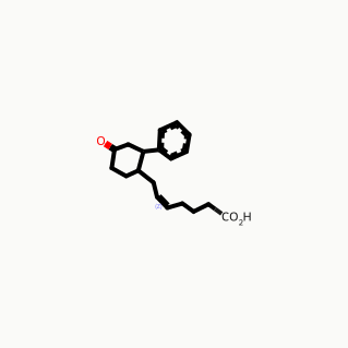 O=C(O)CCC/C=C\CC1CCC(=O)CC1c1ccccc1